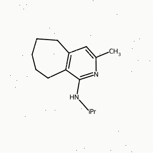 Cc1cc2c(c(NC(C)C)n1)CCCCC2